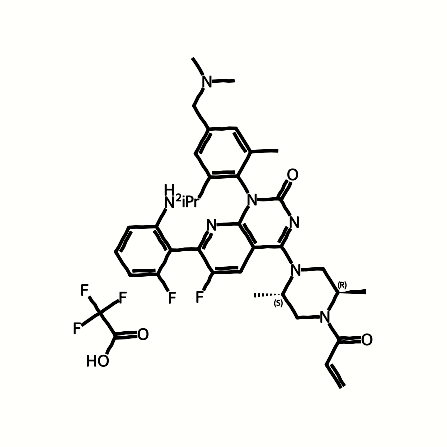 C=CC(=O)N1C[C@H](C)N(c2nc(=O)n(-c3c(C)cc(CN(C)C)cc3C(C)C)c3nc(-c4c(N)cccc4F)c(F)cc23)C[C@H]1C.O=C(O)C(F)(F)F